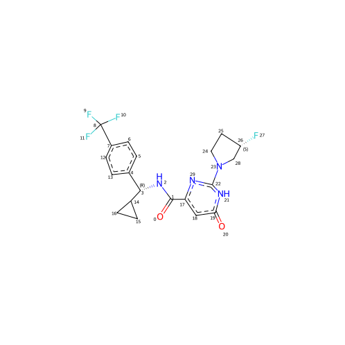 O=C(N[C@@H](c1ccc(C(F)(F)F)cc1)C1CC1)c1cc(=O)[nH]c(N2CC[C@H](F)C2)n1